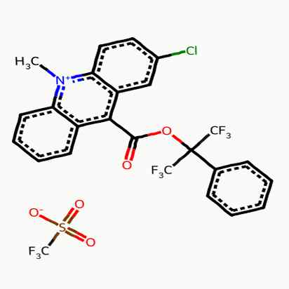 C[n+]1c2ccccc2c(C(=O)OC(c2ccccc2)(C(F)(F)F)C(F)(F)F)c2cc(Cl)ccc21.O=S(=O)([O-])C(F)(F)F